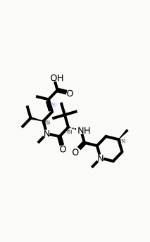 C/C(=C\[C@H](C(C)C)N(C)C(=O)[C@@H](NC(=O)C1C[C@@H](C)CCN1C)C(C)(C)C)C(=O)O